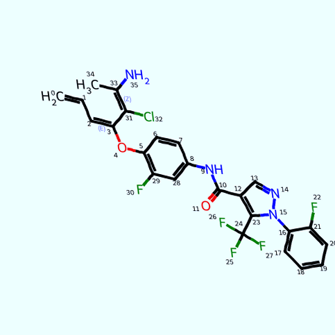 C=C/C=C(Oc1ccc(NC(=O)c2cnn(-c3ccccc3F)c2C(F)(F)F)cc1F)\C(Cl)=C(/C)N